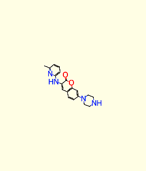 Cc1cccc(Nc2cc3ccc(N4CCNCC4)cc3oc2=O)n1